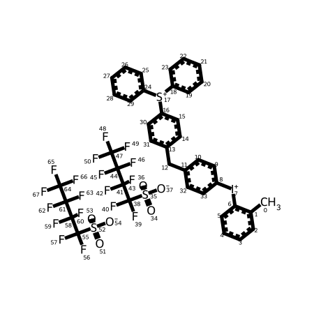 Cc1ccccc1[I+]c1ccc(Cc2ccc([S+](c3ccccc3)c3ccccc3)cc2)cc1.O=S(=O)([O-])C(F)(F)C(F)(F)C(F)(F)C(F)(F)F.O=S(=O)([O-])C(F)(F)C(F)(F)C(F)(F)C(F)(F)F